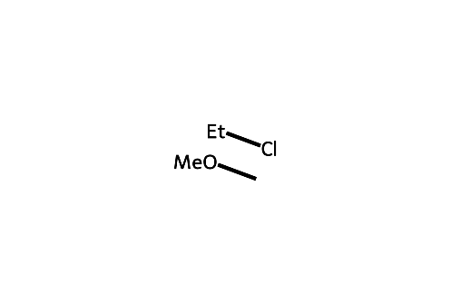 CCCl.COC